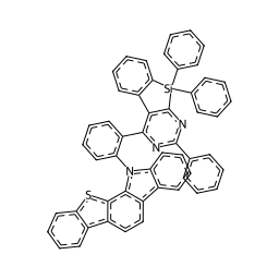 c1ccc(-c2nc(-c3ccccc3-n3c4ccccc4c4ccc5c6ccccc6sc5c43)c3c(n2)[Si](c2ccccc2)(c2ccccc2)c2ccccc2-3)cc1